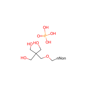 CCCCCCCCCCOCC(CO)(CO)CO.O=P(O)(O)O